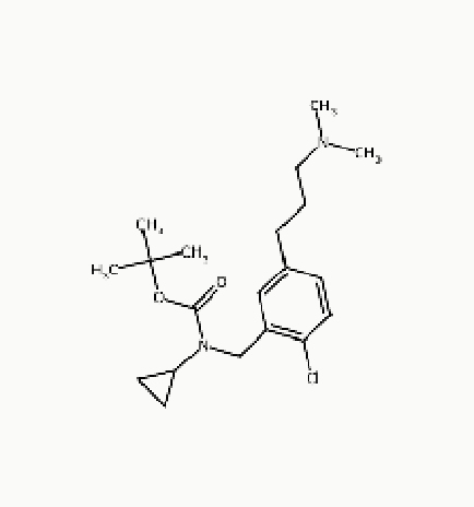 CN(C)CCCc1ccc(Cl)c(CN(C(=O)OC(C)(C)C)C2CC2)c1